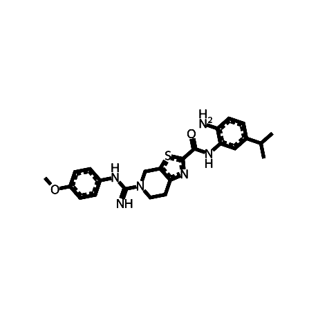 COc1ccc(NC(=N)N2CCc3nc(C(=O)Nc4cc(C(C)C)ccc4N)sc3C2)cc1